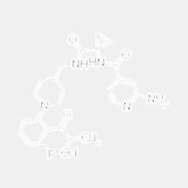 CC(O)C(=O)c1c(F)cccc1N1CCC(CNC(=O)C2(NC(=O)c3ccnc(N)c3)CC2)CC1